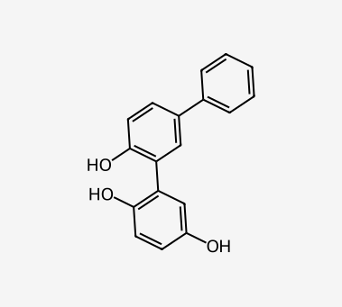 Oc1ccc(O)c(-c2cc(-c3ccccc3)ccc2O)c1